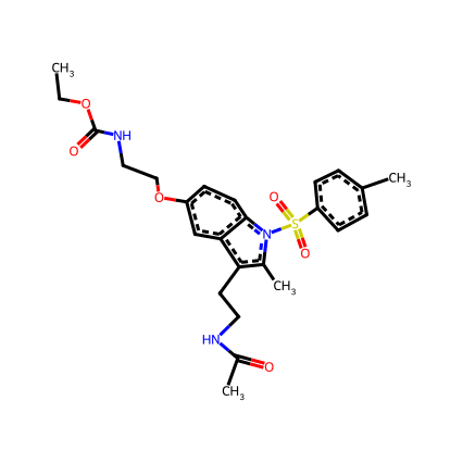 CCOC(=O)NCCOc1ccc2c(c1)c(CCNC(C)=O)c(C)n2S(=O)(=O)c1ccc(C)cc1